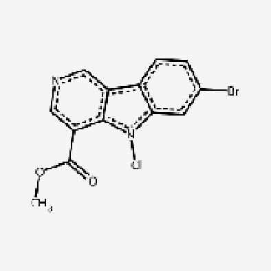 COC(=O)c1cncc2c3ccc(Br)cc3n(Cl)c12